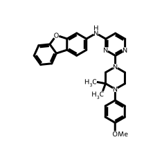 COc1ccc(N2CCN(c3nccc(Nc4ccc5c(c4)oc4ccccc45)n3)CC2(C)C)cc1